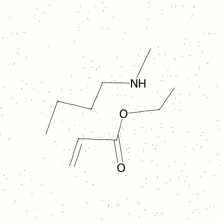 C=CC(=O)OCC.CCCCNC